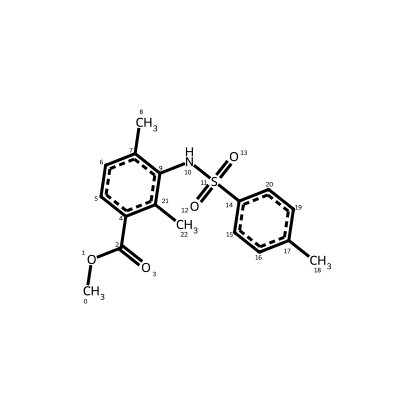 COC(=O)c1ccc(C)c(NS(=O)(=O)c2ccc(C)cc2)c1C